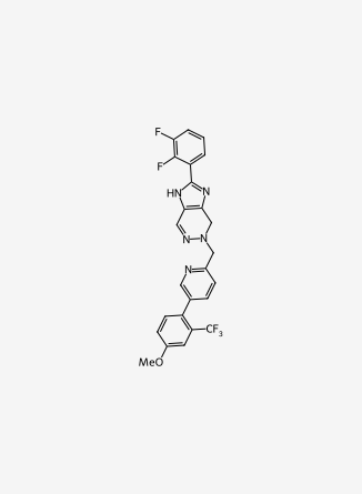 COc1ccc(-c2ccc(CN3Cc4nc(-c5cccc(F)c5F)[nH]c4C=N3)nc2)c(C(F)(F)F)c1